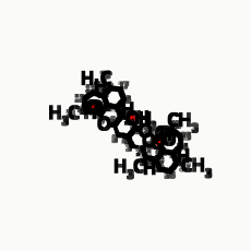 C[C@H]1[C@@H](CC(C[C@H]2O[C@@H]3O[C@]4(C)CC[C@H]5[C@H](C)CC[C@@H]([C@H]2C)[C@@]35OO4)C(=O)O)O[C@@H]2O[C@]3(C)CC[C@H]4[C@H](C)CC[C@@H]1[C@@]24OO3